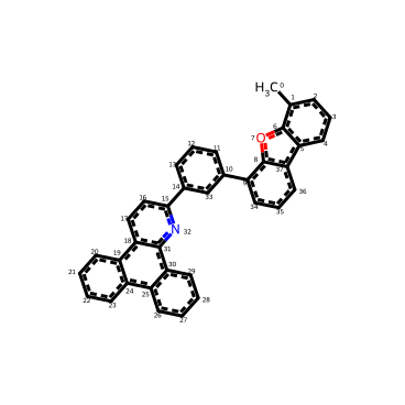 Cc1cccc2c1oc1c(-c3cccc(-c4ccc5c6ccccc6c6ccccc6c5n4)c3)cccc12